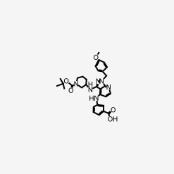 COc1ccc(Cn2nc(NC3CCCN(C(=O)OC(C)(C)C)C3)c3c(Nc4cccc(C(=O)O)c4)ccnc32)cc1